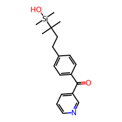 CC(C)(CCc1ccc(C(=O)c2cccnc2)cc1)[Si](C)(C)O